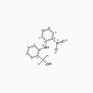 CC(C)(O)c1ccccc1Nc1ccccc1[N+](=O)[O-]